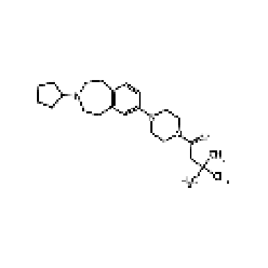 CC(C)(C)CC(=O)N1CCN(c2ccc3c(c2)CCN(C2CCCC2)CC3)CC1